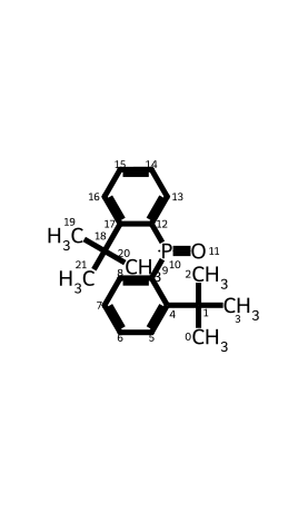 CC(C)(C)c1ccccc1[P](=O)c1ccccc1C(C)(C)C